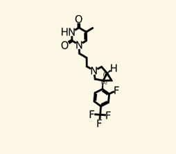 Cc1cn(CCCN2C[C@@H]3C[C@]3(c3ccc(C(F)(F)F)cc3F)C2)c(=O)[nH]c1=O